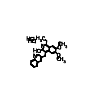 CCc1nc(O)c(Cc2cnc3ccccc3c2)c2cc(OC)c(OC)cc12.Cl.Cl